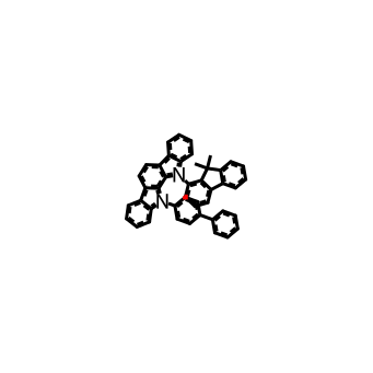 CC1(C)c2ccccc2-c2cccc(-n3c4ccccc4c4ccc5c6ccccc6n(-c6ccc(-c7ccccc7)cc6)c5c43)c21